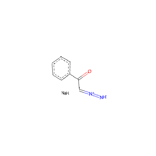 N=[N+]=CC(=O)c1ccccc1.[NaH]